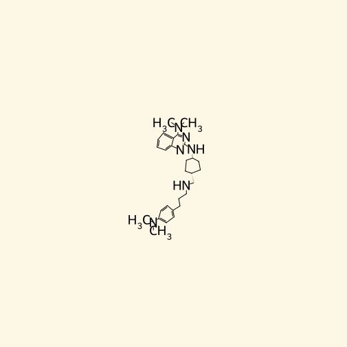 CN(C)c1ccc(CCCNC[C@H]2CC[C@@H](Nc3nc(N(C)C)c4ccccc4n3)CC2)cc1